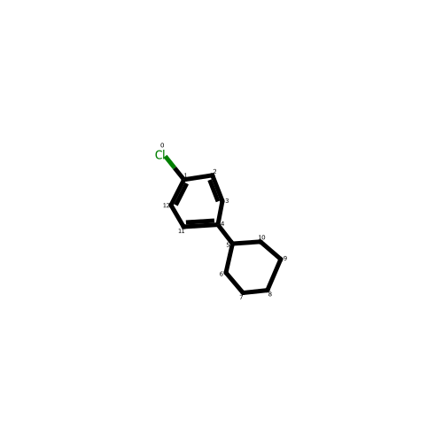 Clc1ccc([C]2CCCCC2)cc1